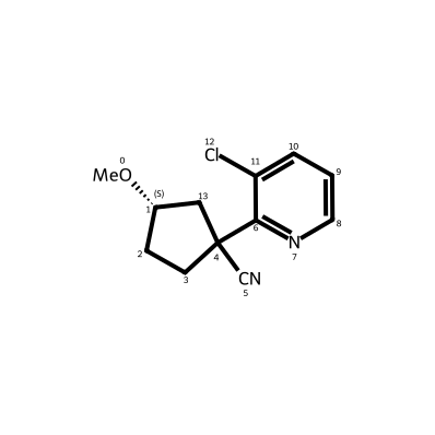 CO[C@H]1CCC(C#N)(c2ncccc2Cl)C1